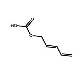 C=CC=CCOC(=O)O